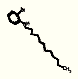 CCCCCCCCCCCCNc1ccccc1Br